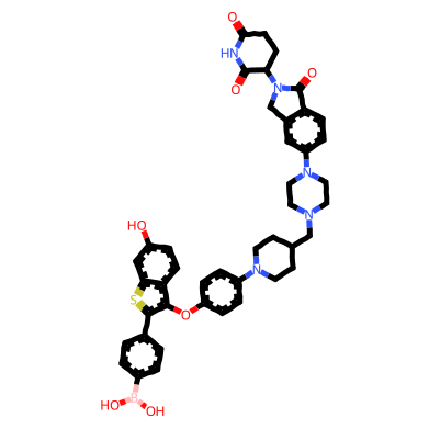 O=C1CCC(N2Cc3cc(N4CCN(CC5CCN(c6ccc(Oc7c(-c8ccc(B(O)O)cc8)sc8cc(O)ccc78)cc6)CC5)CC4)ccc3C2=O)C(=O)N1